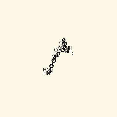 CCN(C(=O)[C@@H]1CCN(CC(=O)N2CC=C(c3ccc(C(=N)/N=C\NC)cc3)CC2)C1)c1ccc(N)c(C(=N)c2ccc(OC)c(OC)n2)n1